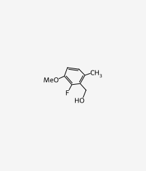 COc1ccc(C)c(CO)c1F